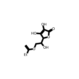 C=C(CC)OCC(O)C1OC(=O)C(O)=C1O